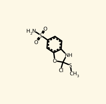 CSC1(Cl)Nc2ccc(S(N)(=O)=O)cc2O1